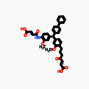 COc1cc(C(c2ccc(-c3ccccc3)cc2)c2ccc(NC(=O)/C=C/C(=O)O)c(OC)c2)ccc1CCCC(=O)/C=C/C(=O)O